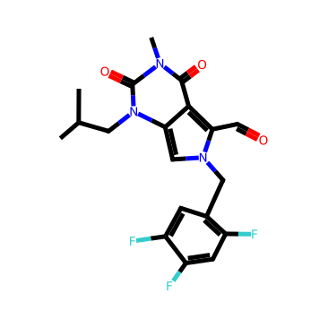 CC(C)Cn1c(=O)n(C)c(=O)c2c(C=O)n(Cc3cc(F)c(F)cc3F)cc21